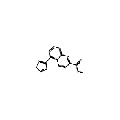 COC(=O)c1ccc2c(-c3ccsn3)cccc2n1